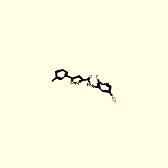 Cc1cccc(-c2cc(C(=O)Nc3cc(Cl)ccc3F)no2)c1